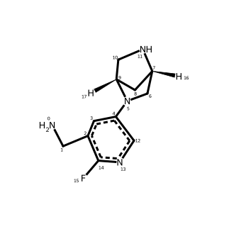 NCc1cc(N2C[C@@H]3C[C@H]2CN3)cnc1F